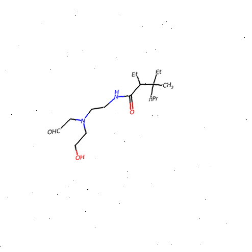 CCCC(C)(CC)C(CC)C(=O)NCCN(CC=O)CCO